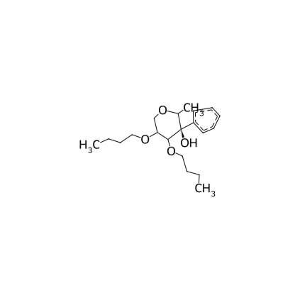 CCCCOC1COC(C)[C@](O)(c2ccccc2)C1OCCCC